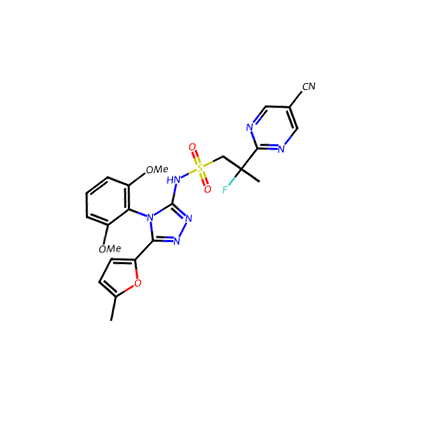 COc1cccc(OC)c1-n1c(NS(=O)(=O)CC(C)(F)c2ncc(C#N)cn2)nnc1-c1ccc(C)o1